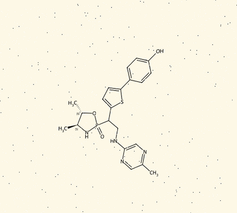 Cc1cnc(NCC(c2ccc(-c3ccc(O)cc3)s2)P2(=O)N[C@@H](C)[C@H](C)O2)cn1